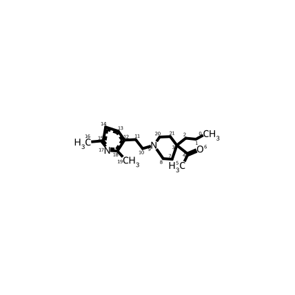 CCCC1(C(C)=O)CCN(CCc2ccc(C)nc2C)CC1